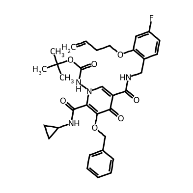 C=CCCOc1cc(F)ccc1CNC(=O)c1cn(NC(=O)OC(C)(C)C)c(C(=O)NC2CC2)c(OCc2ccccc2)c1=O